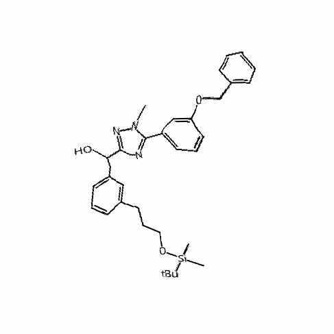 Cn1nc(C(O)c2cccc(CCCO[Si](C)(C)C(C)(C)C)c2)nc1-c1cccc(OCc2ccccc2)c1